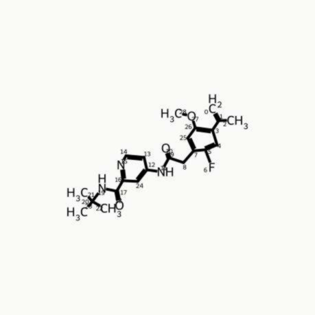 C=C(C)c1cc(F)c(CC(=O)Nc2ccnc(C(=O)NC(C)(C)C)c2)cc1OC